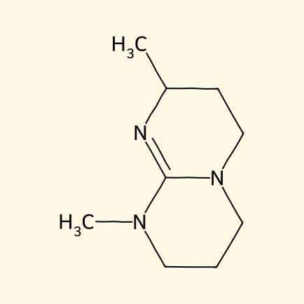 CC1CCN2CCCN(C)C2=N1